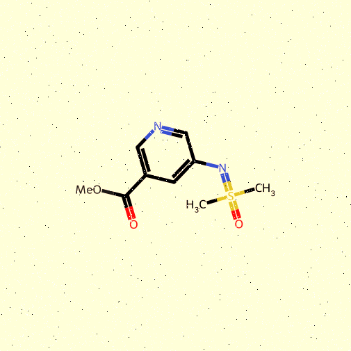 COC(=O)c1cncc(N=S(C)(C)=O)c1